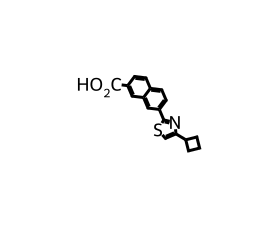 O=C(O)c1ccc2ccc(-c3nc(C4CCC4)cs3)cc2c1